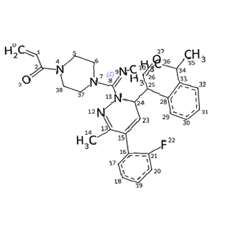 C=CC(=O)N1CCN(/C(=N/C)N2N=C(C)C(c3ccccc3F)=CC2C(C=O)c2ccccc2C(C)C)CC1